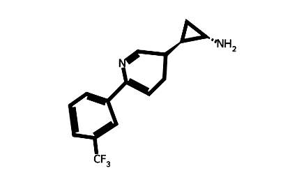 N[C@H]1C[C@@H]1C1C=NC(c2cccc(C(F)(F)F)c2)=CC1